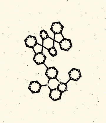 c1ccc(-c2nc3cccc4c3n2-c2ccc(-c3ccc5c(c3)C3(c6ccccc6-5)c5ccccc5C5(c6ccccc6-c6ccccc65)c5ccccc53)cc2N4c2ccccc2)cc1